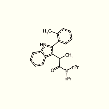 CCCN(CCC)C(=O)C(C)c1c(-c2ccccc2C)[nH]c2ccccc12